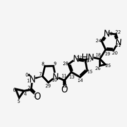 CN(C(=O)C1CC1)[C@H]1CCN(C(=O)c2ccc(NC3(c4cncnc4)CC3)nc2)C1